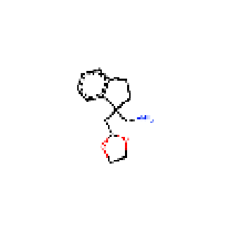 NCC1(CC2OCCO2)CCc2ccccc21